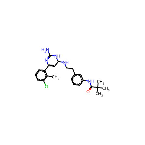 Cc1c(Cl)cccc1C1=CC(NCCc2cccc(NC(=O)C(C)(C)C)c2)NC(N)=N1